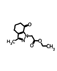 CCOC(=O)Cn1nc(C)c2c1C(=O)CCC2